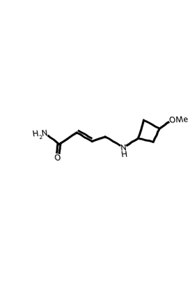 COC1CC(NCC=CC(N)=O)C1